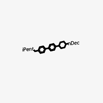 CCCCCCCCCCC1CCC(c2ccc(-c3ccc(CC(C)CCC)cc3)cc2)CC1